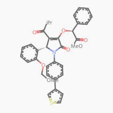 COCOc1ccccc1[C@@H]1C(C(=O)C(C)C)=C(O[C@H](C(=O)OC)c2ccccc2)C(=O)N1c1ccc(-c2ccsc2)cc1